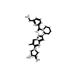 Cc1cn2nc([C@@H]3CCCCN3C(=O)c3cccc(CO)n3)cc2nc1N1CC(=N)[C@@H](O)C1